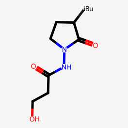 CCC(C)C1CCN(NC(=O)CCO)C1=O